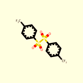 O=S(=O)(c1ccc(C(F)(F)F)cc1)S(=O)(=O)c1ccc(C(F)(F)F)cc1